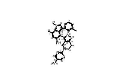 Cc1cccc(C)c1-n1nc2c(c1-c1c(P)cc(C)c3c1ccn3C)CN(c1ncc(C(C)C)cn1)CC2